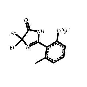 CCC1(C(C)C)N=C(c2c(C)cccc2C(=O)O)NC1=O